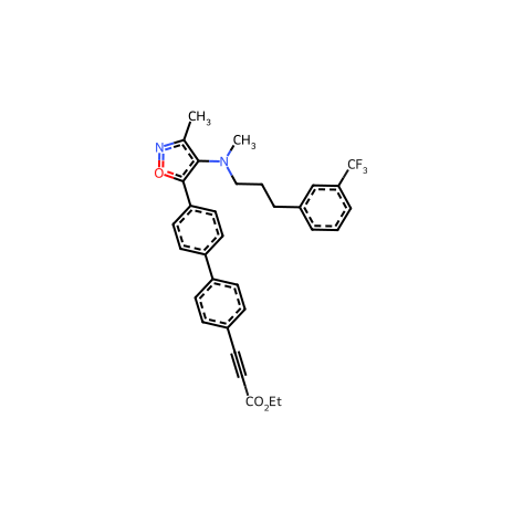 CCOC(=O)C#Cc1ccc(-c2ccc(-c3onc(C)c3N(C)CCCc3cccc(C(F)(F)F)c3)cc2)cc1